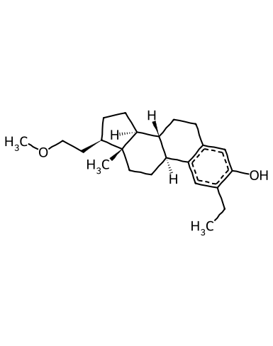 CCc1cc2c(cc1O)CC[C@@H]1[C@@H]2CC[C@]2(C)[C@@H](CCOC)CC[C@@H]12